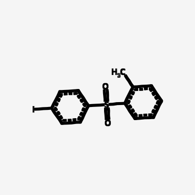 Cc1ccccc1S(=O)(=O)c1ccc(I)cc1